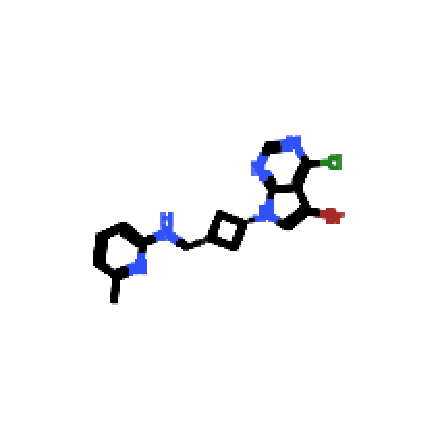 Cc1cccc(NC[C@H]2C[C@@H](n3cc(Br)c4c(Cl)ncnc43)C2)n1